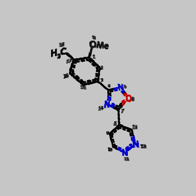 COc1cc(-c2noc(-c3ccnnc3)n2)ccc1C